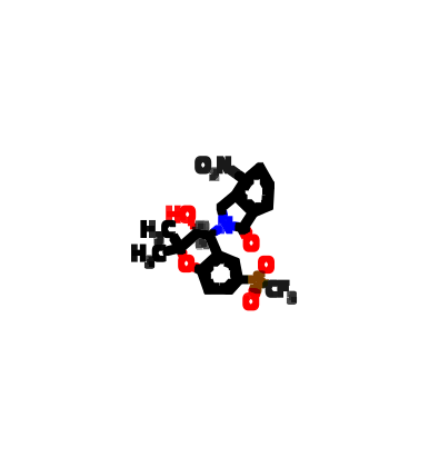 CC1(C)Oc2ccc(S(=O)(=O)C(F)(F)F)cc2[C@H](N2Cc3c(cccc3[N+](=O)[O-])C2=O)[C@H]1O